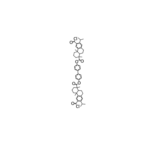 CC(C)c1cc2c(cc1C(=O)Cl)C1(C)CCCC(C)(C(=O)Oc3ccc(-c4ccc(OC(=O)C5(C)CCCC6(C)c7cc(C(=O)Cl)c(C(C)C)cc7CCC56)cc4)cc3)C1CC2